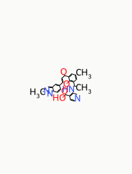 Cc1cc(C(C)Nc2cnccc2C(=O)O)c2oc(-c3ccc4nn(C)cc4c3)cc(=O)c2c1